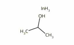 CC(C)O.[InH3]